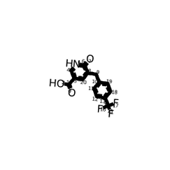 O=C(O)c1c[nH]c(=O)c(Cc2ccc(C(F)(F)F)cc2)c1